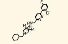 Fc1ccc(Cl)c(-c2ccc(CN[C@H]3[C@@H]4CN(CC5CCCCC5)C[C@@H]43)nn2)c1